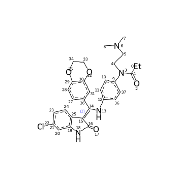 CCC(=O)N(CCN(C)C)c1ccc(N/C(=C2\C(=O)Nc3cc(Cl)ccc32)c2ccc3c(c2)OCCO3)cc1